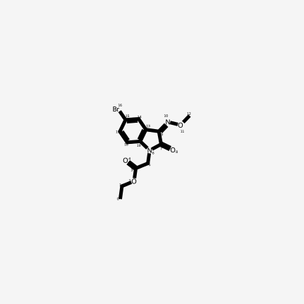 CCOC(=O)CN1C(=O)C(=NOC)c2cc(Br)ccc21